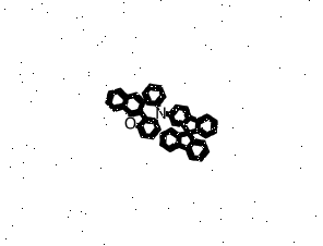 c1ccc(N(c2ccc3c(c2)C2(c4ccccc4-c4ccccc42)c2ccccc2-3)c2cccc3oc4c5ccccc5ccc4c23)cc1